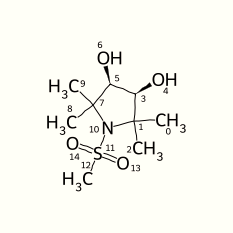 CC1(C)[C@H](O)[C@H](O)C(C)(C)N1S(C)(=O)=O